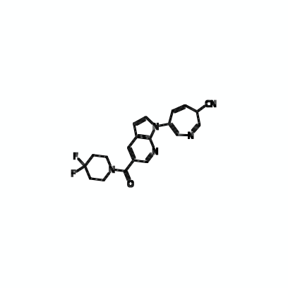 N#CC1C=CC(n2ccc3cc(C(=O)N4CCC(F)(F)CC4)cnc32)=CN=C1